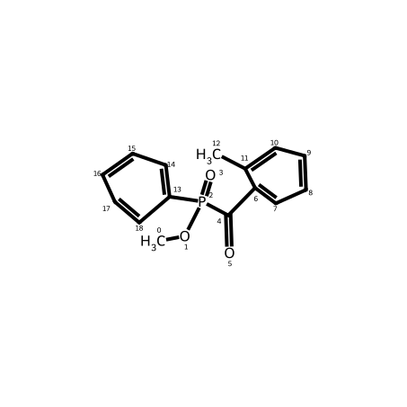 COP(=O)(C(=O)c1ccccc1C)c1ccccc1